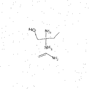 C=CN.CCC(N)(N)CO